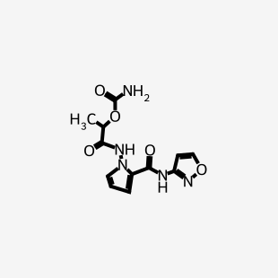 CC(OC(N)=O)C(=O)Nn1cccc1C(=O)Nc1ccon1